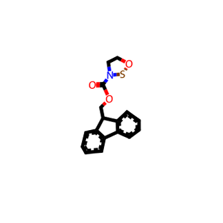 O=C(OCC1c2ccccc2-c2ccccc21)N1CCOS1